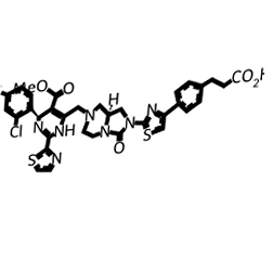 COC(=O)C1=C(CN2CCN3C(=O)N(c4nc(-c5ccc(CCC(=O)O)cc5)cs4)C[C@@H]3C2)NC(c2nccs2)=N[C@H]1c1ccc(F)cc1Cl